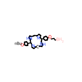 BCCCOc1ccc(-c2c3nc(cc4ccc([nH]4)c(-c4ccc(OCCCC)cc4)c4nc(cc5ccc2[nH]5)C=C4)C=C3)cc1